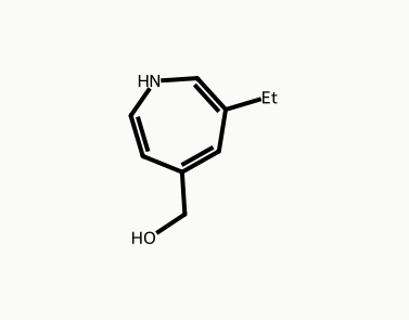 CCC1=CNC=CC(CO)=C1